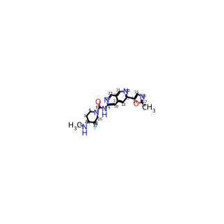 CN[C@@H]1CCN(C(=O)Nc2cc3cc(-c4cnc(C)o4)ncc3cn2)C[C@H]1F